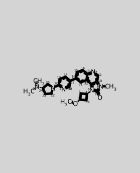 CO[C@H]1C[C@@H](n2c(=O)n(C)c3cnc4ccc(-c5ccc(N6CC[C@H](N(C)C)C6)nc5)cc4c32)C1